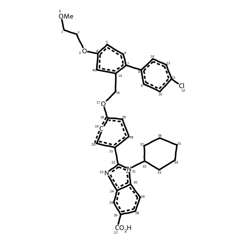 COCCOc1ccc(-c2ccc(Cl)cc2)c(COc2ccc(-c3nc4cc(C(=O)O)ccc4n3C3CCCCC3)cc2)c1